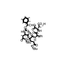 CC(C)C(NC(=O)C(CCC(=O)OC(C)(C)C)NC(=O)C(CC(=O)OC(C)(C)C)NC(=O)OCc1ccccc1)C(=O)NN(CC(=O)O)C(=O)C=O